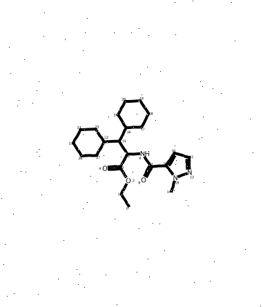 CCOC(=O)C(NC(=O)c1ccnn1C)C(C1CCCCC1)C1CCCCC1